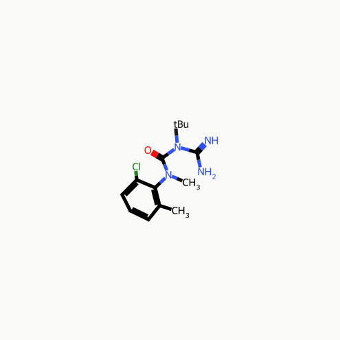 Cc1cccc(Cl)c1N(C)C(=O)N(C(=N)N)C(C)(C)C